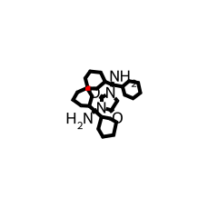 NC(C1CCCCC1)(C1CCCCC1)N1CC(=O)N(C(N)(C2CCCCC2)C2CCCCC2)C1=O